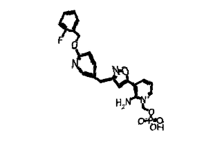 Nc1c(-c2cc(Cc3ccc(OCc4ccccc4F)nc3)no2)ccc[n+]1COP(=O)([O-])O